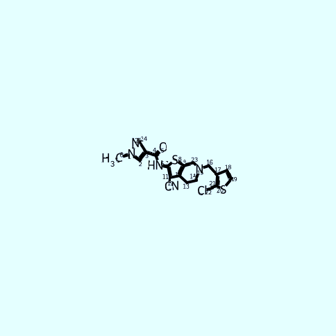 Cn1cc(C(=O)Nc2sc3c(c2C#N)CCN(Cc2ccsc2Cl)C3)cn1